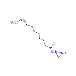 C1CN1.CCCCCCCC/C=C\CCCCCCCC(N)=O